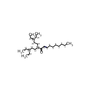 CCCCCCC/C=C/C(=O)N(CCN(CC)CC)CCN(CC)CC